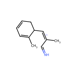 CC1=CC=CCC1/C=C(/C)C=N